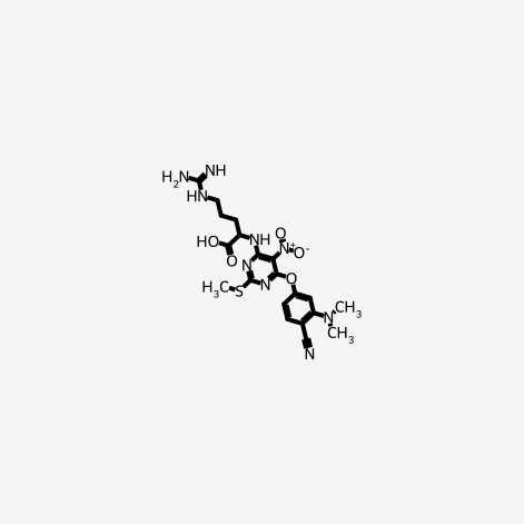 CSc1nc(NC(CCCNC(=N)N)C(=O)O)c([N+](=O)[O-])c(Oc2ccc(C#N)c(N(C)C)c2)n1